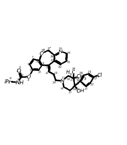 CC(C)NC(=O)Oc1ccc2c(c1)/C(=C/CCN1CCC(O)(c3ccc(Cl)cc3)C(C)(C)C1)c1cccnc1CO2